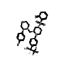 C[C@](O)(c1ccc(N2CCN(S(=O)(=O)C3=CC=CCC3=S)C[C@@H]2CN2CCOC[C@@H]2c2ccc(F)cc2)cc1)C(F)(F)F